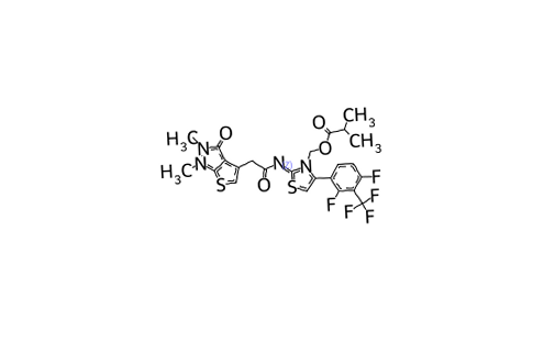 CC(C)C(=O)OCn1c(-c2ccc(F)c(C(F)(F)F)c2F)cs/c1=N\C(=O)Cc1csc2c1c(=O)n(C)n2C